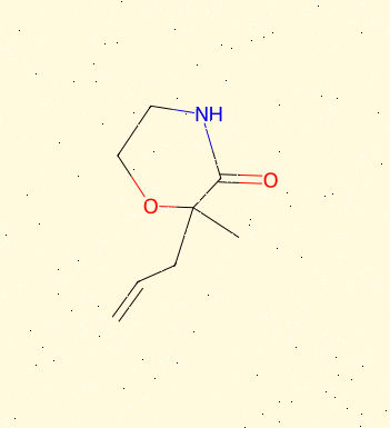 C=CCC1(C)OCCNC1=O